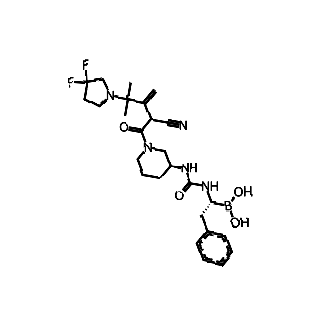 C=C(C(C#N)C(=O)N1CCC[C@H](NC(=O)N[C@@H](Cc2ccccc2)B(O)O)C1)C(C)(C)N1CCC(F)(F)C1